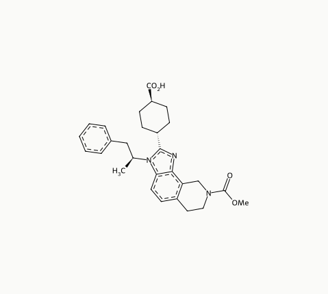 COC(=O)N1CCc2ccc3c(nc([C@H]4CC[C@H](C(=O)O)CC4)n3[C@@H](C)Cc3ccccc3)c2C1